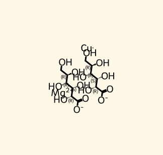 O=C([O-])[C@H](O)[C@@H](O)[C@H](O)[C@H](O)CO.O=C([O-])[C@H](O)[C@@H](O)[C@H](O)[C@H](O)CO.[Cu].[Mg+2]